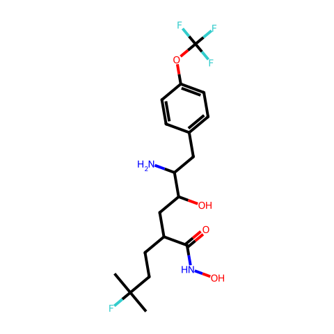 CC(C)(F)CCC(CC(O)C(N)Cc1ccc(OC(F)(F)F)cc1)C(=O)NO